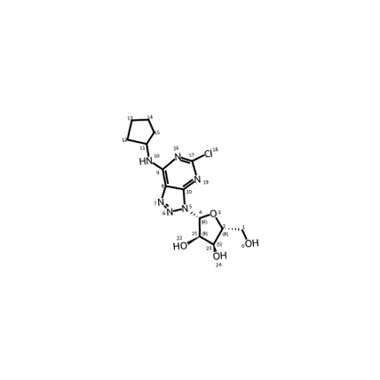 OC[C@H]1O[C@@H](n2nnc3c(NC4CCCC4)nc(Cl)nc32)[C@H](O)[C@@H]1O